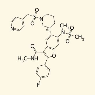 CNC(=O)c1c(-c2ccc(F)cc2)oc2cc(N(C)S(C)(=O)=O)c([C@H]3CCCN(S(=O)(=O)Cc4ccncc4)C3)cc12